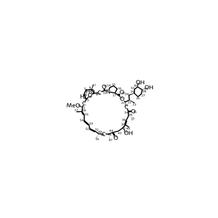 CO[C@H]1C[C@@H]2CC[C@@H](C)[C@](O)(CC(=O)N3CCCC3C(=O)O[C@H]([C@H](C)C[C@@H]3CC[C@@H](O)[C@H](O)C3)CC(=O)[C@H](C)/C=C(\C)[C@@H](O)CC(=O)[C@H](C)C[C@H](C)/C=C/C=C/C=C/1C)O2